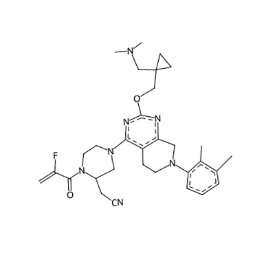 C=C(F)C(=O)N1CCN(c2nc(OCC3(CN(C)C)CC3)nc3c2CCN(c2cccc(C)c2C)C3)CC1CC#N